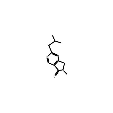 CC(C)Cc1cc2c(cn1)C(=O)N(C)C2